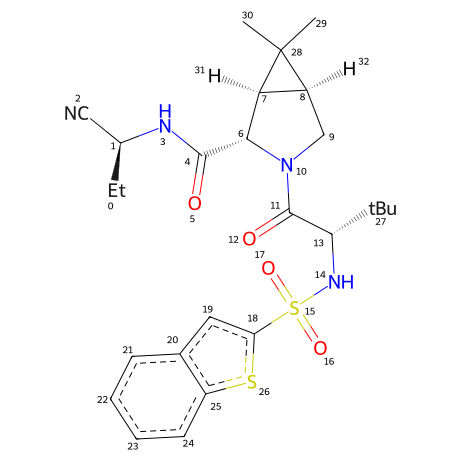 CC[C@@H](C#N)NC(=O)[C@@H]1[C@@H]2[C@H](CN1C(=O)[C@@H](NS(=O)(=O)c1cc3ccccc3s1)C(C)(C)C)C2(C)C